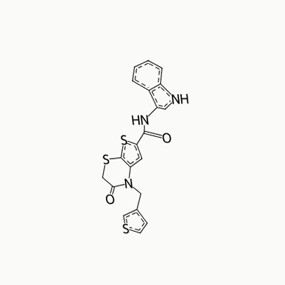 O=C(Nc1c[nH]c2ccccc12)c1cc2c(s1)SCC(=O)N2Cc1ccsc1